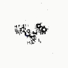 C[C@H](/C=C\[C@@H](O)[C@H]1OC(C)(C)O[C@H]1CCO[Si](c1ccccc1)(c1ccccc1)C(C)(C)C)[C@H](C)O[Si](C)(C)C(C)(C)C